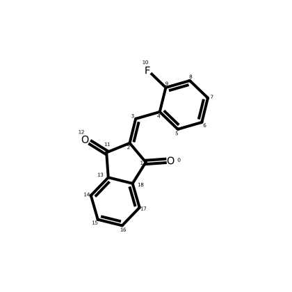 O=C1C(=Cc2ccccc2F)C(=O)c2ccccc21